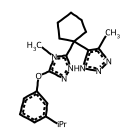 Cc1nn[nH]c1C1(c2nnc(Oc3cccc(C(C)C)c3)n2C)CCCCC1